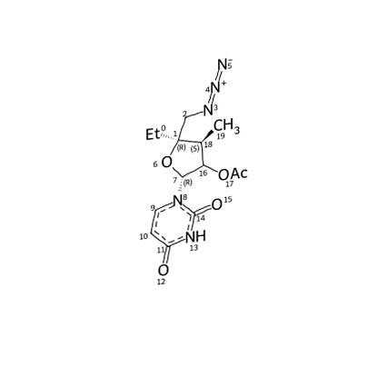 CC[C@@]1(CN=[N+]=[N-])O[C@@H](n2ccc(=O)[nH]c2=O)C(OC(C)=O)[C@@H]1C